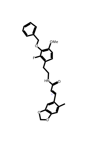 COc1ccc(CCNC(=O)/C=C/c2cc3c(cc2C)OCO3)c(F)c1OCc1ccccc1